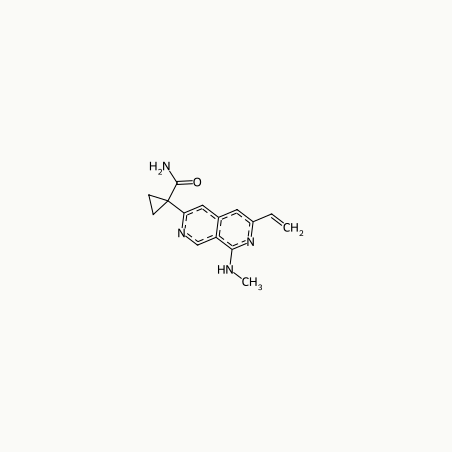 C=Cc1cc2cc(C3(C(N)=O)CC3)ncc2c(NC)n1